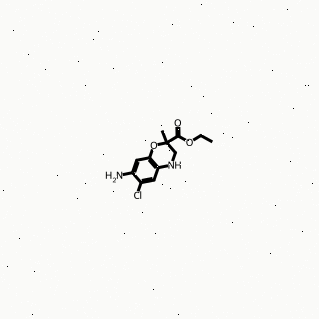 CCOC(=O)C1(C)CNc2cc(Cl)c(N)cc2O1